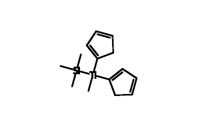 C[Si](C)(C)[Ti]([CH3])([C]1=CC=CC1)[C]1=CC=CC1